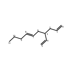 C=CCC(C=C)CC=CCCC